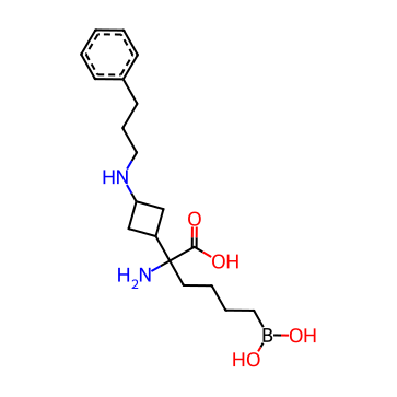 NC(CCCCB(O)O)(C(=O)O)C1CC(NCCCc2ccccc2)C1